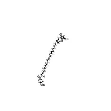 CC(C)(C)C1CCN(C(=O)NCCOCCOCCOCCOCCOCCOCCOCCn2cc(CN3C(=O)CC(C(C)(C)C)C3=O)nn2)CC1